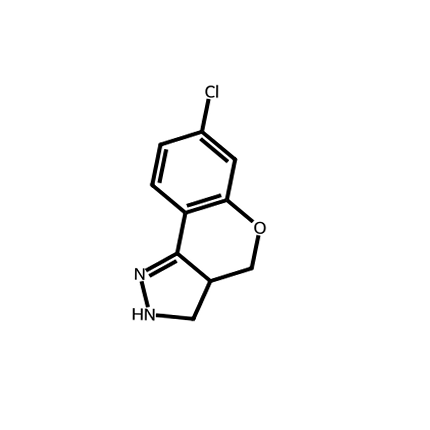 Clc1ccc2c(c1)OCC1CNN=C21